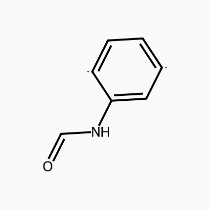 O=CNc1[c]cc[c]c1